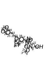 CC(C)(C)OC(=O)N1C[C@H](O)C[C@H]1c1nc(-c2ccc(OCCCc3ccc4c(c3)OCCO4)c(C(F)(F)F)c2)no1